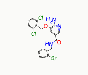 Nc1ncc(C(=O)NCc2ccccc2Br)cc1OCc1c(Cl)cccc1Cl